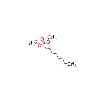 CCCCCCC=CP(=O)(OC)OC